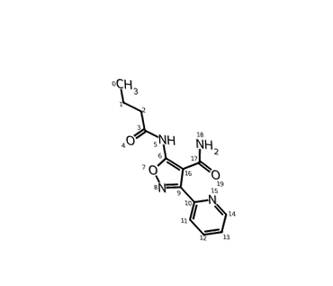 CCCC(=O)Nc1onc(-c2ccccn2)c1C(N)=O